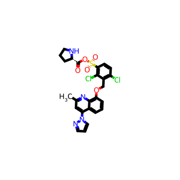 Cc1cc(-n2cccn2)c2cccc(OCc3c(Cl)ccc(S(=O)(=O)OC(=O)[C@@H]4CCCN4)c3Cl)c2n1